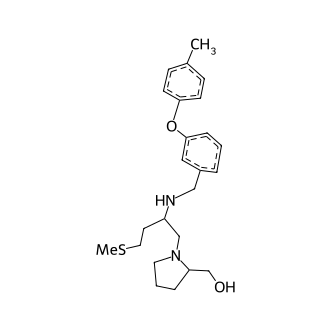 CSCCC(CN1CCCC1CO)NCc1cccc(Oc2ccc(C)cc2)c1